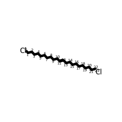 ClCCCCCCCCCCC=CCCCCCCCCCCCl